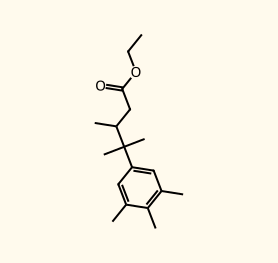 CCOC(=O)CC(C)C(C)(C)c1cc(C)c(C)c(C)c1